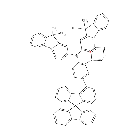 CC1(C)c2ccccc2-c2ccc(N(c3ccc4c(c3)C(C)(C)c3ccccc3-4)c3ccc(-c4cccc5c4-c4ccccc4C54c5ccccc5-c5ccccc54)cc3-c3ccccc3)cc21